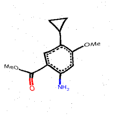 COC(=O)c1cc(C2CC2)c(OC)cc1N